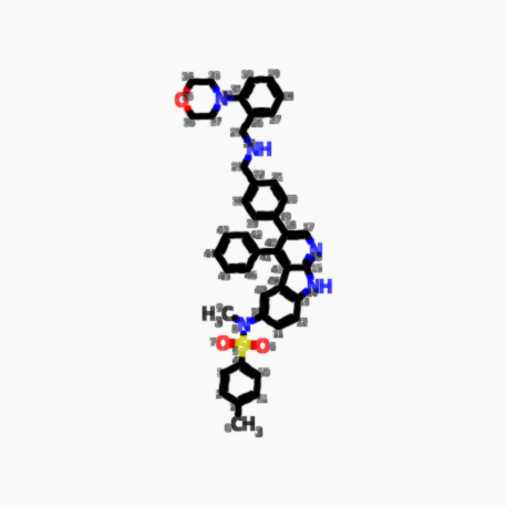 Cc1ccc(S(=O)(=O)N(C)c2ccc3[nH]c4ncc(-c5ccc(CNCc6ccccc6N6CCOCC6)cc5)c(-c5ccccc5)c4c3c2)cc1